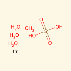 O.O.O.O.O=S(=O)(O)O.[Cr]